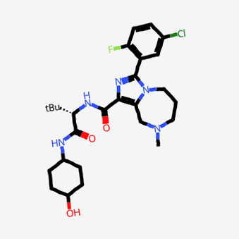 CN1CCCn2c(-c3cc(Cl)ccc3F)nc(C(=O)N[C@H](C(=O)NC3CCC(O)CC3)C(C)(C)C)c2C1